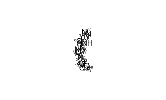 COc1cc2nc(C)nn2cc1NC(=O)N1CCc2c(N3CCN(C(=O)OC(C)(C)C)C4(CC4)C3)ccnc21